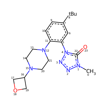 Cn1nnn(-c2cc(C(C)(C)C)ccc2N2CCN(C3COC3)CC2)c1=O